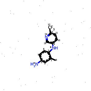 Cc1cc(N)ccc1Nc1ccc(C(F)(F)F)nc1